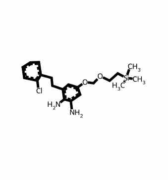 C[Si](C)(C)CCOCOc1cc(N)c(N)c(CCc2ccccc2Cl)c1